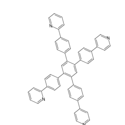 c1ccc(-c2ccc(-c3cc(-c4ccc(-c5ccccn5)cc4)c(-c4ccc(-c5ccncc5)cc4)cc3-c3ccc(-c4ccncc4)cc3)cc2)nc1